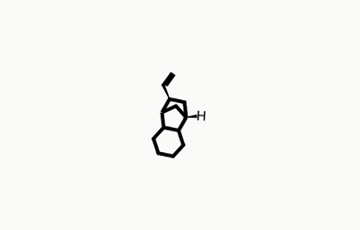 C=C[C@H]1C[C@H]2CC1C1CCCCC12